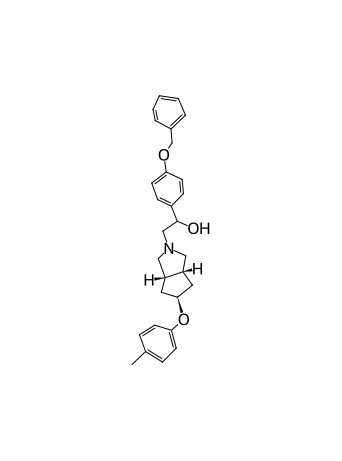 Cc1ccc(O[C@H]2C[C@@H]3CN(CC(O)c4ccc(OCc5ccccc5)cc4)C[C@@H]3C2)cc1